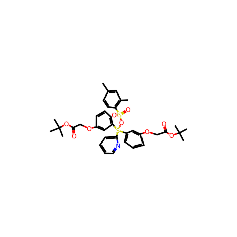 Cc1ccc(S(=O)(=O)OS(c2cccc(OCC(=O)OC(C)(C)C)c2)(c2cccc(OCC(=O)OC(C)(C)C)c2)c2ccccn2)c(C)c1